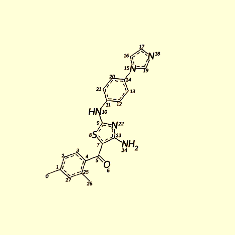 Cc1ccc(C(=O)c2sc(Nc3ccc(-n4ccnc4)cc3)nc2N)c(C)c1